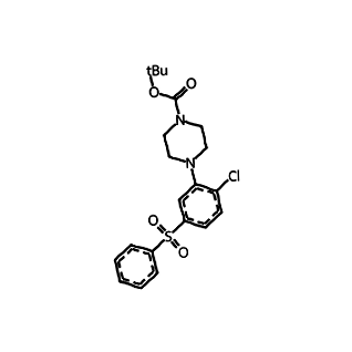 CC(C)(C)OC(=O)N1CCN(c2cc(S(=O)(=O)c3ccccc3)ccc2Cl)CC1